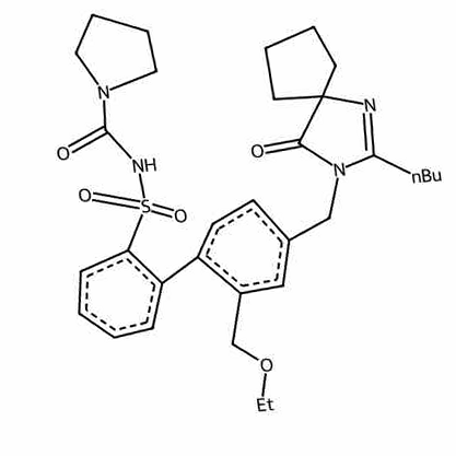 CCCCC1=NC2(CCCC2)C(=O)N1Cc1ccc(-c2ccccc2S(=O)(=O)NC(=O)N2CCCC2)c(COCC)c1